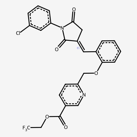 O=C(OCC(F)(F)F)c1ccc(COc2ccccc2/C=C2\CC(=O)N(c3cccc(Cl)c3)C2=O)nc1